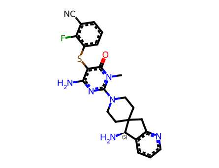 Cn1c(N2CCC3(CC2)Cc2ncccc2[C@H]3N)nc(N)c(Sc2cccc(C#N)c2F)c1=O